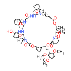 COc1ccc(OC)c(OC)c1CC[C@H]1OC(=O)[C@@H]2CCCCN2C(=O)C(=O)C(C)(C)COC(=O)/C=C/CCN(C)C(=O)[C@@H](Cc2ccccc2)NC(=O)CN(C)C(=O)[C@@H](Cc2ccccc2)NC(=O)[C@H](Cc2ccc(O)cc2)N(C)C(=O)COc2cccc1c2